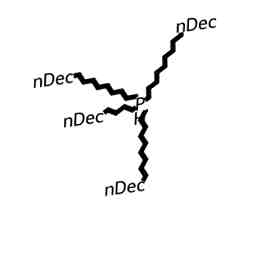 CCCCCCCCCCCCCCCCCCC[PH](CCCCCCCCCCCCCC)(CCCCCCCCCCCCCCCCCCC)CCCCCCCCCCCCCCCCCCC